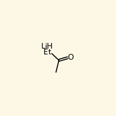 CCC(C)=O.[LiH]